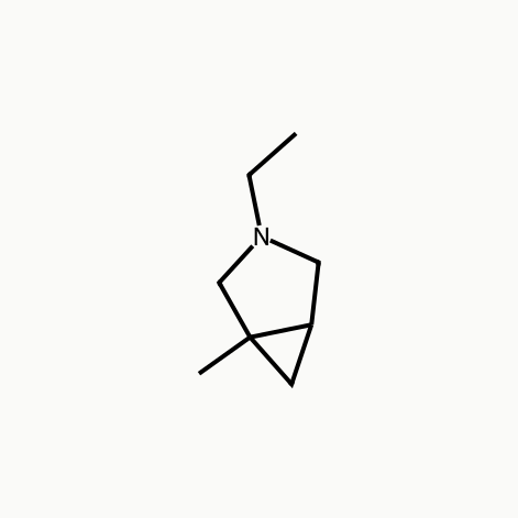 CCN1CC2CC2(C)C1